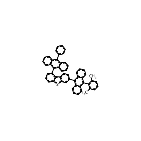 Cc1cccc(C)c1-c1c2ccccc2c(-c2ccc3c(c2)sc2cccc(-c4c5ccccc5c(-c5ccccc5)c5ccccc45)c23)c2ccccc12